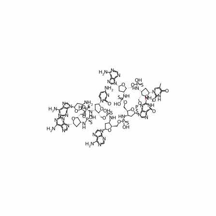 Cc1cn([C@H]2C[C@@H](NP(O)(=S)OC[C@H]3O[C@@H](n4cnc5c(N)ncnc54)C[C@H]3NP(O)(=S)OC[C@H]3O[C@@H](n4cnc5c(=O)[nH]c(N)nc54)C[C@H]3NP(O)(=S)OC[C@H]3O[C@@H](n4cnc5c(N)ncnc54)C[C@H]3NP(O)(=S)OC[C@H]3O[C@@H](n4ccc(N)nc4=O)C[C@H]3NP(O)(=S)OC[C@H]3O[C@@H](n4cnc5c(N)ncnc54)C[C@H]3NP(O)(=S)OC[C@H]3O[C@@H](n4cnc5c(N)ncnc54)C[C@H]3N)[C@@H](COP=S)O2)c(=O)[nH]c1=O